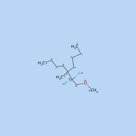 CCCCC(C)(CCCC)C(F)(F)COC